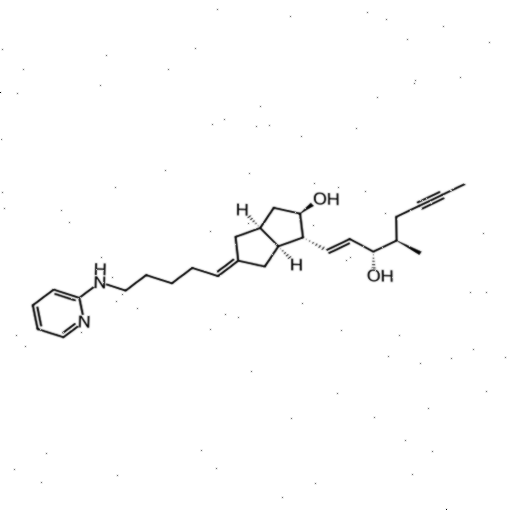 CC#CC[C@@H](C)[C@H](O)/C=C/[C@@H]1[C@H]2C/C(=C/CCCCNc3ccccn3)C[C@H]2C[C@H]1O